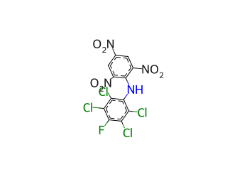 O=[N+]([O-])c1cc([N+](=O)[O-])c(Nc2c(Cl)c(Cl)c(F)c(Cl)c2Cl)c([N+](=O)[O-])c1